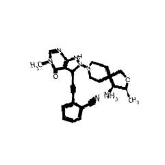 C[C@@H]1OCC2(CCN(N3Nc4ncn(C)c(=O)c4C3C#Cc3ccccc3C#N)CC2)[C@@H]1N